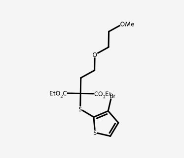 CCOC(=O)C(CCOCCOC)(Sc1sccc1Br)C(=O)OCC